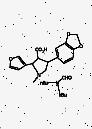 CCCCN(C=O)CCCC.CN1CC(c2ccc3c(c2)OCO3)C(C(=O)O)C1c1ccoc1